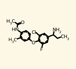 CCC(N)c1cc(F)c(Oc2ccc(NC(C)=O)c(C)c2)c(Cl)c1